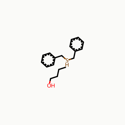 OCCCC[SH](Cc1ccccc1)Cc1ccccc1